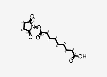 O=C(O)CCCCCCCC(=O)ON1C(=O)CCC1=O